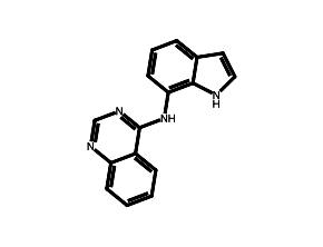 c1cc(Nc2ncnc3ccccc23)c2[nH]ccc2c1